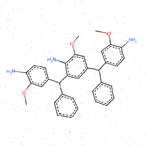 COc1cc(C(c2ccccc2)c2cc(OC)c(N)c(C(c3ccccc3)c3ccc(N)c(OC)c3)c2)ccc1N